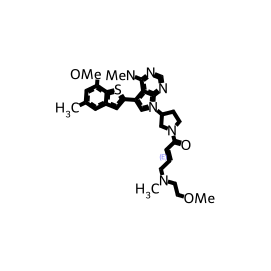 CNc1ncnc2c1c(-c1cc3cc(C)cc(OC)c3s1)cn2C1CCN(C(=O)/C=C/CN(C)CCOC)C1